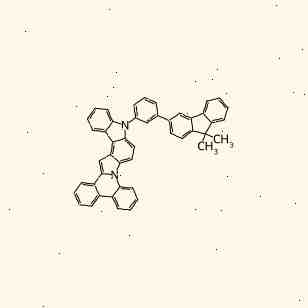 CC1(C)c2ccccc2-c2cc(-c3cccc(-n4c5ccccc5c5c6cc7c8ccccc8c8ccccc8n7c6ccc54)c3)ccc21